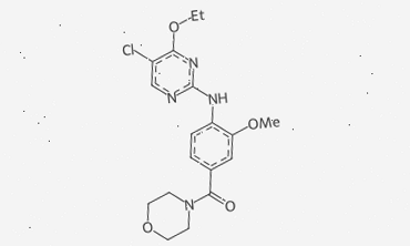 CCOc1nc(Nc2ccc(C(=O)N3CCOCC3)cc2OC)ncc1Cl